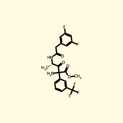 COC(=O)C(N)(C(=O)[C@H](C)NC(=O)Cc1cc(F)cc(F)c1)c1cccc(C(F)(F)F)c1